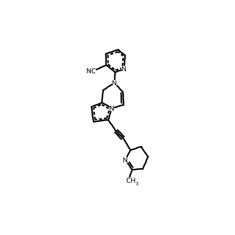 CC1=NC(C#Cc2ccc3n2C=CN(c2ncccc2C#N)C3)CCC1